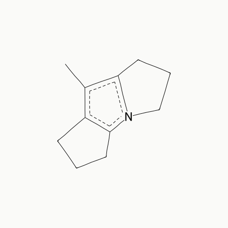 Cc1c2c(n3c1CCC3)CCC2